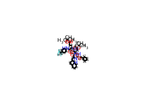 CC(C)(C)OC(=O)CC[C@H](NC(=O)[C@H](CC(=O)OC(C)(C)C)NC(=O)[C@H](Cc1ccc2ccccc2c1)NC(=O)OCc1ccccc1)C(=O)Nc1ccc(C(F)(F)F)cc1